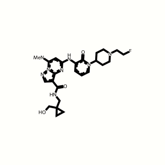 CNc1cc(Nc2cccn(C3CCN(CCF)CC3)c2=O)nc2c(C(=O)NCC3(CO)CC3)cnn12